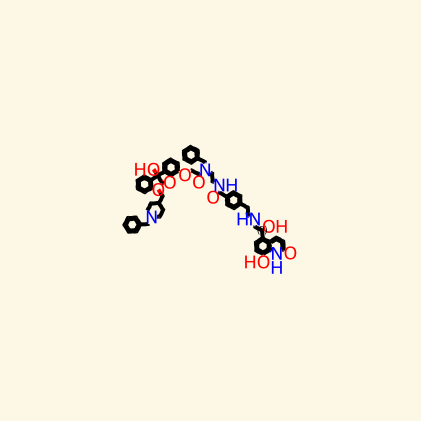 O=C(NCCN(Cc1ccccc1)C(=O)COc1cccc(C(O)(C(=O)OCC2CCN(Cc3ccccc3)CC2)c2ccccc2)c1)c1ccc(CCNC[C@H](O)c2ccc(O)c3[nH]c(=O)ccc23)cc1